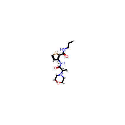 CCCNC(=O)c1sccc1NC(=O)C(C)N1CCOCC1